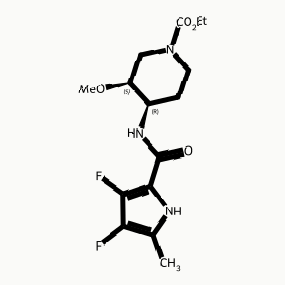 CCOC(=O)N1CC[C@@H](NC(=O)c2[nH]c(C)c(F)c2F)[C@@H](OC)C1